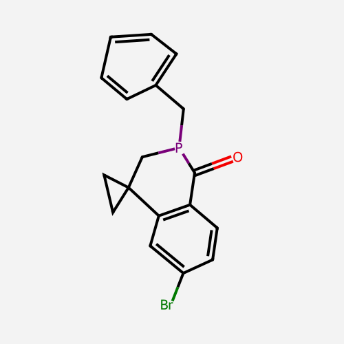 O=C1c2ccc(Br)cc2C2(CC2)CP1Cc1ccccc1